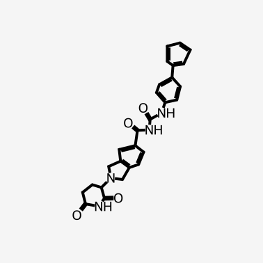 O=C1CCC(N2Cc3ccc(C(=O)NC(=O)Nc4ccc(-c5ccccc5)cc4)cc3C2)C(=O)N1